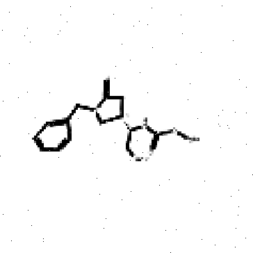 COCC(NC(=O)OC(C)(C)C)[C@H]1CC(=S)N(Cc2ccccc2)C1